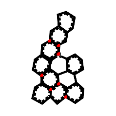 c1ccc(-c2ccccc2-c2c(-c3ccccc3)cccc2N(c2cccc(-c3cccc4ccccc34)c2)c2ccc3ccccc3c2)cc1